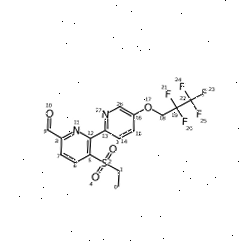 CCS(=O)(=O)c1ccc(C=O)nc1-c1ccc(OCC(F)(F)C(F)(F)F)cn1